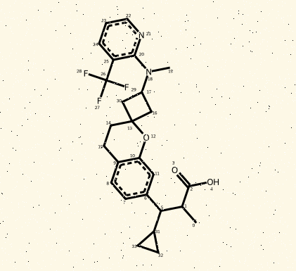 CC(C(=O)O)C(c1ccc2c(c1)OC1(CC2)CC(N(C)c2ncccc2C(F)(F)F)C1)C1CC1